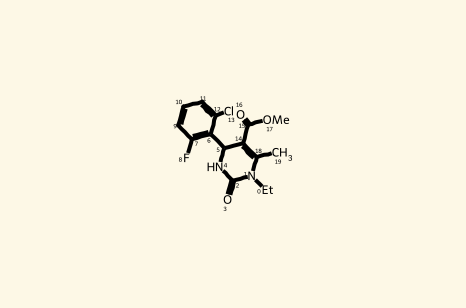 CCN1C(=O)NC(c2c(F)cccc2Cl)C(C(=O)OC)=C1C